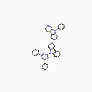 c1ccc(-c2cc(-c3ccccc3)nc(-n3c4ccccc4c4cc(-c5ccc6c(c5)c5ccncc5n6-c5ccccc5)ccc43)n2)cc1